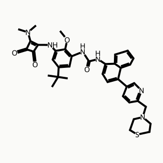 COc1c(NC(=O)Nc2ccc(-c3ccc(CN4CCSCC4)nc3)c3ccccc23)cc(C(C)(C)C)cc1Nc1c(N(C)C)c(=O)c1=O